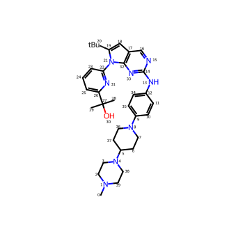 CN1CCN(C2CCN(c3ccc(Nc4ncc5cc(C(C)(C)C)n(-c6cccc(C(C)(C)O)n6)c5n4)cc3)CC2)CC1